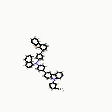 Cc1cccc(-n2c3ccccc3c3cc(-c4ccc(N(c5ccc(-c6cccc7c6sc6ccccc67)cc5)c5cccc6ccccc56)cc4)ccc32)c1